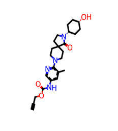 C#CCOC(=O)Nc1cnc(N2CCC3(CC2)CCN([C@H]2CC[C@@H](O)CC2)C3=O)c(C)c1